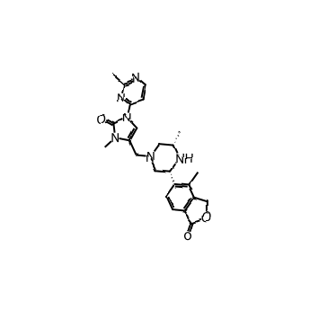 Cc1nccc(-n2cc(CN3C[C@@H](c4ccc5c(c4C)COC5=O)N[C@@H](C)C3)n(C)c2=O)n1